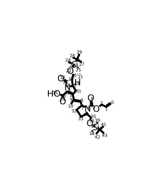 C=CCOC(=O)N1C(C=C(C)C2=C(C(=O)O)N3C(=O)[C@H]([C@@H](C)O[Si](C)(C)C(C)(C)C)[C@H]3C2)CCC1CO[Si](C)(C)C(C)(C)C